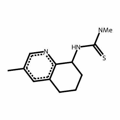 CNC(=S)NC1CCCc2cc(C)cnc21